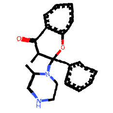 CC1CNCCN1C1(c2ccccc2)Oc2ccccc2C(=O)C1C